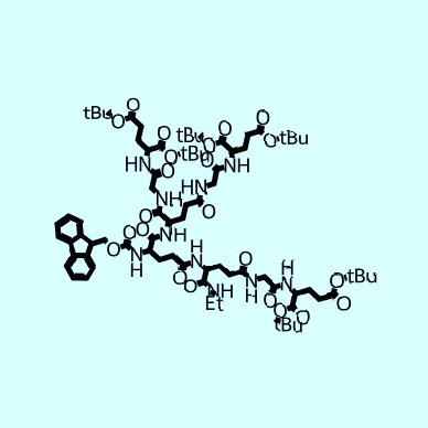 CCNC(=O)C(CCC(=O)NCC(=O)NC(CCC(=O)OC(C)(C)C)C(=O)OC(C)(C)C)NC(=O)CCC(NC(=O)OCC1c2ccccc2-c2ccccc21)C(=O)NC(CCC(=O)NCC(=O)NC(CCC(=O)OC(C)(C)C)C(=O)OC(C)(C)C)C(=O)NCC(=O)NC(CCC(=O)OC(C)(C)C)C(=O)OC(C)(C)C